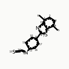 Cc1ccc(C)c2sc(-c3ccc(N=C=S)cc3)nc12